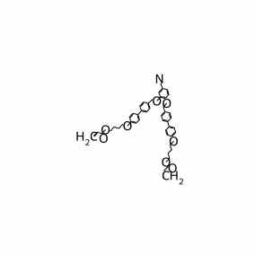 C=CC(=O)OCCCCOc1ccc(-c2ccc(COc3ccc(C#N)cc3OCc3ccc(-c4ccc(OCCCCOC(=O)C=C)cc4)cc3)cc2)cc1